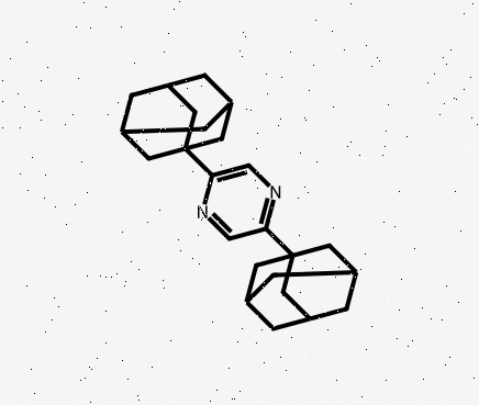 c1nc(C23CC4CC(CC(C4)C2)C3)cnc1C12CC3CC(CC(C3)C1)C2